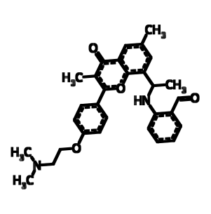 Cc1cc(C(C)Nc2ccccc2C=O)c2oc(-c3ccc(OCCN(C)C)cc3)c(C)c(=O)c2c1